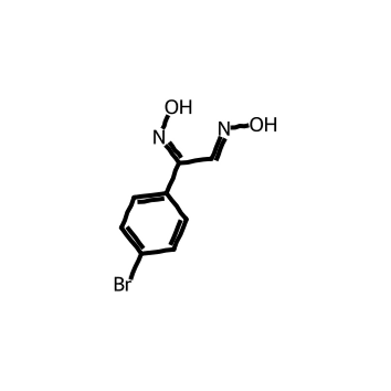 ON=CC(=NO)c1ccc(Br)cc1